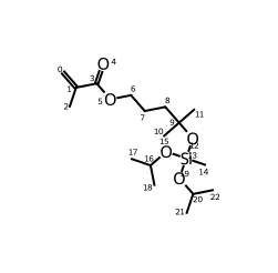 C=C(C)C(=O)OCCCC(C)(C)O[Si](C)(OC(C)C)OC(C)C